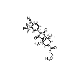 CCOC(=O)N1CC2(C)OC(C)(C1)C1C(=O)N(c3ccc(C#N)c(C(F)(F)F)c3)C(=O)C12